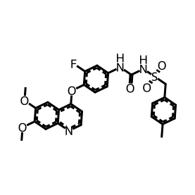 COc1cc2nccc(Oc3ccc(NC(=O)NS(=O)(=O)Cc4ccc(C)cc4)cc3F)c2cc1OC